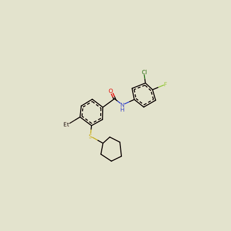 CCc1ccc(C(=O)Nc2ccc(F)c(Cl)c2)cc1SC1CCCCC1